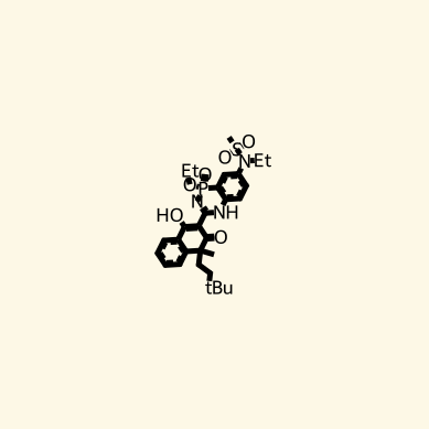 CCOP1(=O)N=C(C2=C(O)c3ccccc3C(C)(CCC(C)(C)C)C2=O)Nc2ccc(N(CC)S(C)(=O)=O)cc21